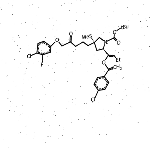 C=C(O/C(=C\CC)[C@H]1C[C@](CCCC(=O)COc2ccc(Cl)c(F)c2)(SC)CN1C(=O)OC(C)(C)C)c1ccc(Cl)cc1